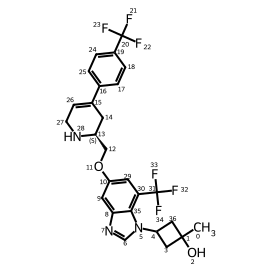 CC1(O)CC(n2cnc3cc(OC[C@@H]4CC(c5ccc(C(F)(F)F)cc5)=CCN4)cc(C(F)(F)F)c32)C1